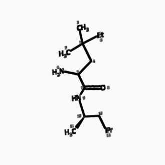 CCC(C)(C)CC(N)C(=O)N[C@H](C)CC(C)C